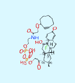 C[C@@H]1C[C@H]2[C@@H]3CCC4=CC(=O)C=C[C@]4(C)[C@@]3(F)[C@@H](O)C[C@]2(C)[C@H]1C(=O)COP(=O)(O)OP(=O)(O)OCCNC(=O)COC1C#CCCCCC1